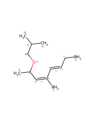 BC/C=C/C(B)=C\C(C)OCC(C)C